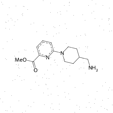 COC(=O)c1cccc(N2CCC(CN)CC2)n1